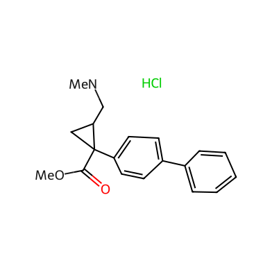 CNCC1CC1(C(=O)OC)c1ccc(-c2ccccc2)cc1.Cl